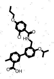 CCCOc1ccc(C(=O)NCc2cc(-c3ccc(C)c(C(=O)O)c3)ccc2OC(C)C)c(Cl)c1